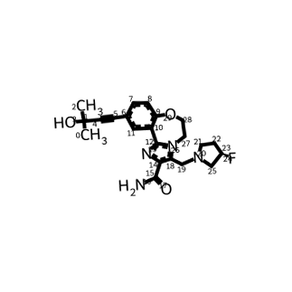 CC(C)(O)C#Cc1ccc2c(c1)-c1nc(C(N)=O)c(CN3CC[C@@H](F)C3)n1CCO2